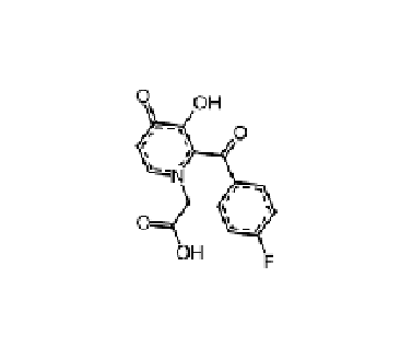 O=C(O)Cn1ccc(=O)c(O)c1C(=O)c1ccc(F)cc1